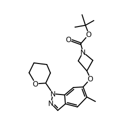 Cc1cc2cnn(C3CCCCO3)c2cc1OC1CN(C(=O)OC(C)(C)C)C1